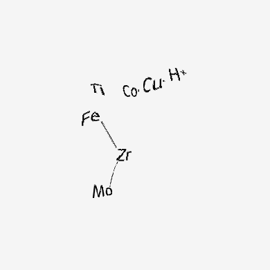 [Co].[Cu].[Fe][Zr][Mo].[H+].[Ti]